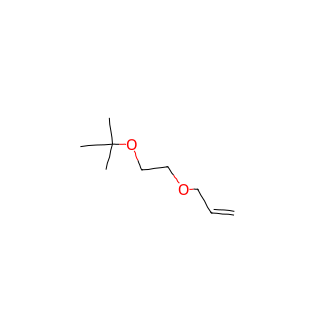 C=CCOCCOC(C)(C)C